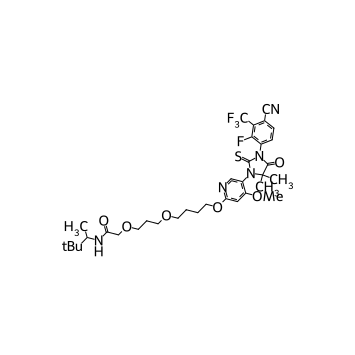 COc1cc(OCCCCOCCCOCC(=O)NC(C)C(C)(C)C)ncc1N1C(=S)N(c2ccc(C#N)c(C(F)(F)F)c2F)C(=O)C1(C)C